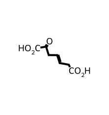 O=C(O)C/C=C/CC(=O)C(=O)O